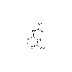 CSC(NC(=O)O)NC(=O)O